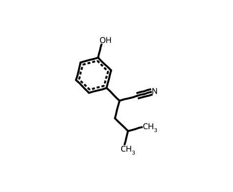 CC(C)CC(C#N)c1cccc(O)c1